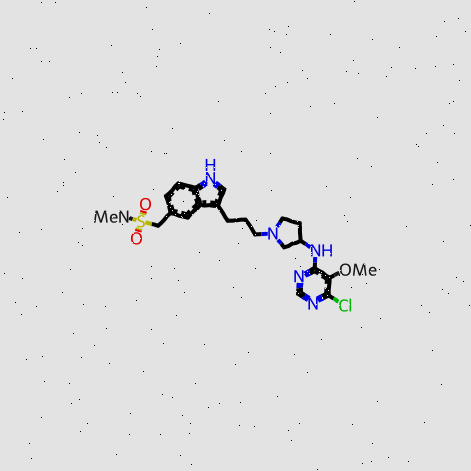 CNS(=O)(=O)Cc1ccc2[nH]cc(CCCN3CCC(Nc4ncnc(Cl)c4OC)C3)c2c1